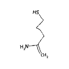 C=C(N)CCCS